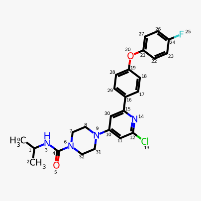 CC(C)NC(=O)N1CCN(c2cc(Cl)nc(-c3ccc(Oc4ccc(F)cc4)cc3)c2)CC1